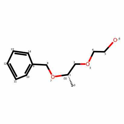 C[C@@H](COCC[O])OCc1ccccc1